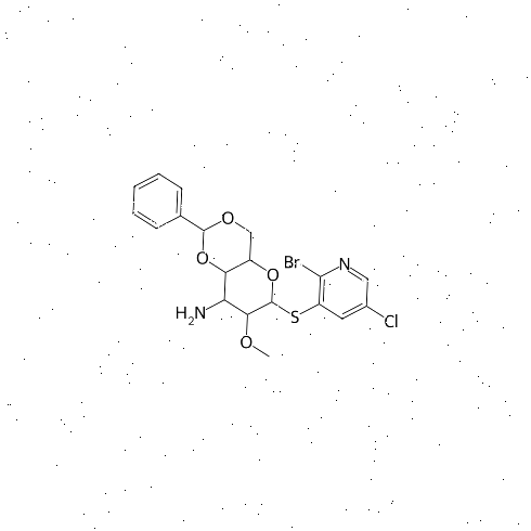 COC1C(Sc2cc(Cl)cnc2Br)OC2COC(c3ccccc3)OC2C1N